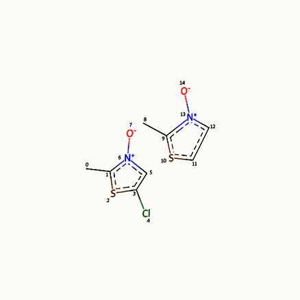 Cc1sc(Cl)c[n+]1[O-].Cc1scc[n+]1[O-]